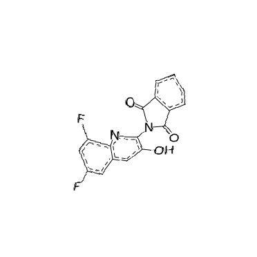 O=C1c2ccccc2C(=O)N1c1nc2c(F)cc(F)cc2cc1O